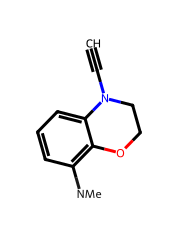 C#CN1CCOc2c(NC)cccc21